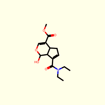 CCN(CC)C(=O)C1=CCC2C(C(=O)OC)=COC(O)C12